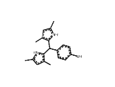 Cc1cc(C)c(C(c2ccc(O)cc2)c2[nH]c(C)cc2C)[nH]1